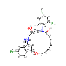 O=C1CCCC=CCO[C@@H]2C[C@H](NC[C@@H](O)[C@H](Cc3cc(F)cc(F)c3)N1)c1cc(Br)ccc12